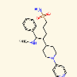 NS(=O)(=O)CCCC(C1CCN(c2ccncc2)CC1)C(NC=O)c1ccccc1